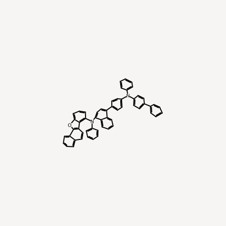 c1ccc(-c2ccc(N(c3ccccc3)c3ccc(-c4ccc(N(c5ccccc5)c5cccc6oc7c8ccccc8ccc7c56)c5ccccc45)cc3)cc2)cc1